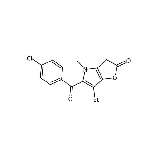 CCc1c2c(n(C)c1C(=O)c1ccc(Cl)cc1)CC(=O)O2